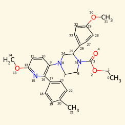 CCOC(=O)N1CCN(c2ccc(OC)nc2-c2ccc(C)cc2)CC1c1ccc(OC)cc1